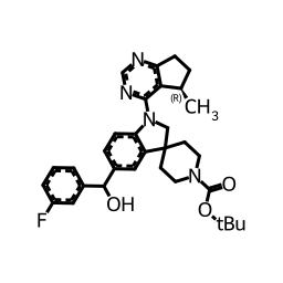 C[C@@H]1CCc2ncnc(N3CC4(CCN(C(=O)OC(C)(C)C)CC4)c4cc(C(O)c5cccc(F)c5)ccc43)c21